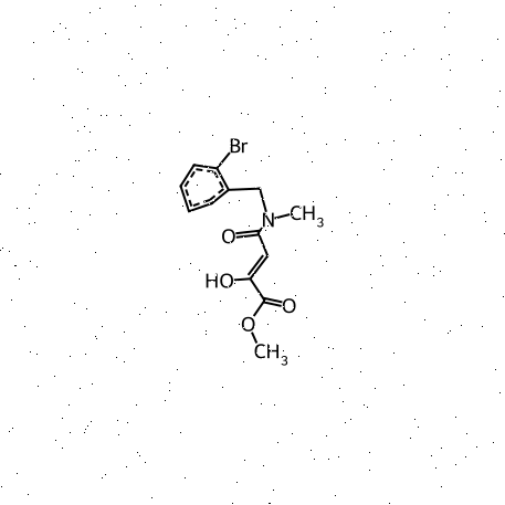 COC(=O)C(O)=CC(=O)N(C)Cc1ccccc1Br